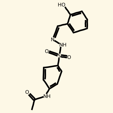 CC(=O)Nc1ccc(S(=O)(=O)N/N=C\c2ccccc2O)cc1